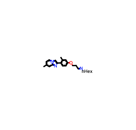 CCCCCCN=CCCOc1ccc(-c2cn3ccc(C)cc3n2)c(C)c1